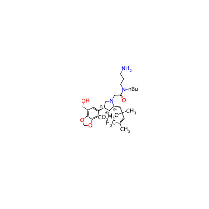 CCCCN(CCCN)C(=O)CN1C[C@H](c2cc(CO)c3c(c2)OCO3)[C@@H](C(=O)O)[C@@H]1CC(C)(C)C=C(C)C